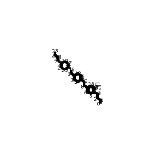 CCCCc1ccc(CCC2=CCC(CC[C@H]3CC[C@H](CCCC)CC3)CC2)cc1F